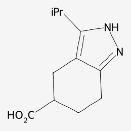 CC(C)c1[nH]nc2c1CC(C(=O)O)CC2